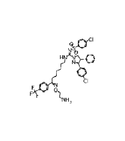 NCCON=C(CCCCCCNC(=NS(=O)(=O)c1ccc(Cl)cc1)N1CC(c2ccccc2)C(c2ccc(Cl)cc2)=N1)c1ccc(C(F)(F)F)cc1